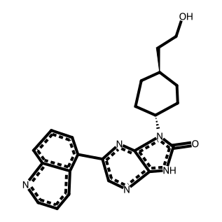 O=c1[nH]c2ncc(-c3cccc4ncccc34)nc2n1[C@H]1CC[C@H](CCO)CC1